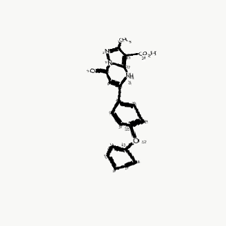 Cc1nn2c(=O)cc(-c3ccc(Oc4ccccc4)cc3)[nH]c2c1C(=O)O